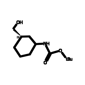 CC(C)(C)OC(=O)NC1CCC[C@H](CO)C1